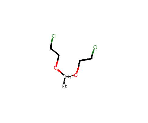 CC[SiH](OCCCl)OCCCl